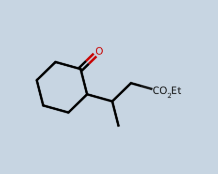 CCOC(=O)CC(C)C1CCCCC1=O